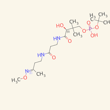 CO/N=C(\C)CCNC(=O)CCNC(=O)[C@@H](O)C(C)(C)COP(=O)(O)OC(C)(C)C